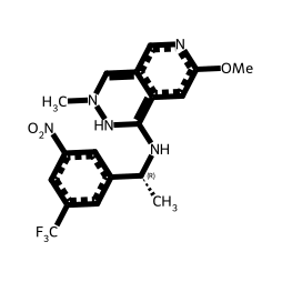 COc1cc2c(cn1)=CN(C)NC=2N[C@H](C)c1cc([N+](=O)[O-])cc(C(F)(F)F)c1